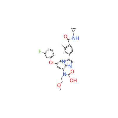 COCCN(C(=O)O)c1cc(Oc2cccc(F)c2)cn2c(-c3ccc(C(=O)NC4CC4)c(C)c3)cnc12